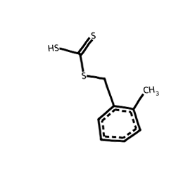 Cc1ccccc1CSC(=S)S